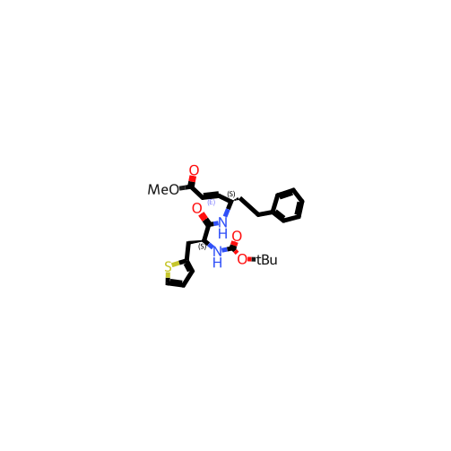 COC(=O)/C=C/[C@H](CCc1ccccc1)NC(=O)[C@H](Cc1cccs1)NC(=O)OC(C)(C)C